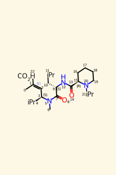 C/C(=C\[C@H](C(C)C)N(C)C(=O)[C@H](CC(C)C)NC(=O)[C@H]1CCCCN1C(C)C)C(=O)O